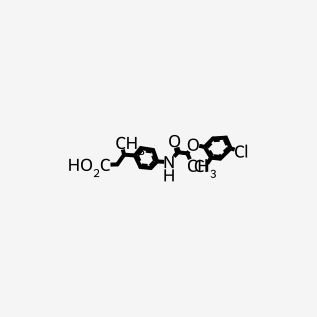 CC(Oc1ccc(Cl)cc1Cl)C(=O)Nc1ccc(C(C)CC(=O)O)cc1